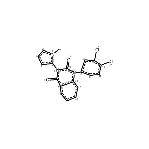 Cn1cccc1-n1c(=O)c2ccccc2n(-c2ccc(Cl)c(Cl)c2)c1=O